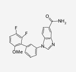 COc1ccc(F)c(F)c1-c1cccc(-n2cnc3cc(C(N)=O)ccc32)c1